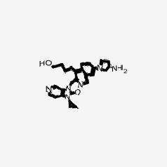 N[C@H]1CCN(c2ccc3c(CCCCO)c(Cn4c(=O)n(C5CC5)c5ccncc54)ncc3c2)C1